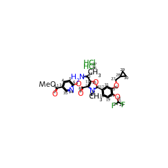 COC(=O)c1ccc(OC(=O)C2=C([C@H](C)N)O[C@@H](c3ccc(OC(F)F)c(OCC4CC4)c3)N2C)nc1.Cl.Cl